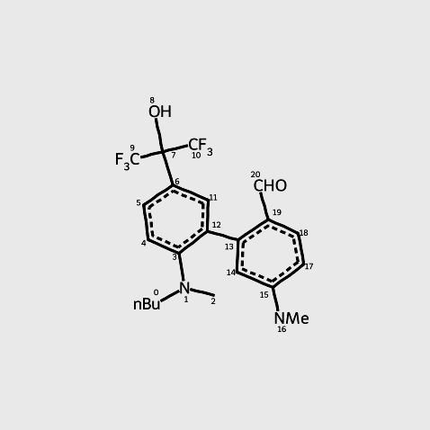 CCCCN(C)c1ccc(C(O)(C(F)(F)F)C(F)(F)F)cc1-c1cc(NC)ccc1C=O